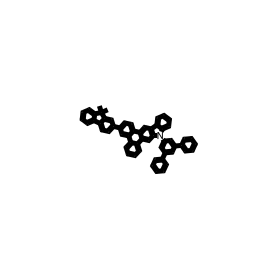 CC1(C)c2ccccc2-c2ccc(-c3ccc4c(c3)c3ccccc3c3cc5c(cc43)c3ccccc3n5-c3cc(-c4ccccc4)cc(-c4ccccc4)c3)cc21